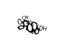 C[C@]12C=C(C#N)C(=O)C3(CCCC3)C1=CC[C@H]1C3CC[C@H](O)[C@@]3(C)CC[C@@H]12